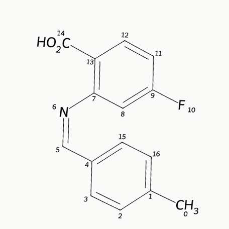 Cc1ccc(/C=N\c2cc(F)ccc2C(=O)O)cc1